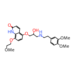 COCCOc1ccc(OCC(O)CNCCc2ccc(OC)c(OC)c2)c2ccc(=O)[nH]c12